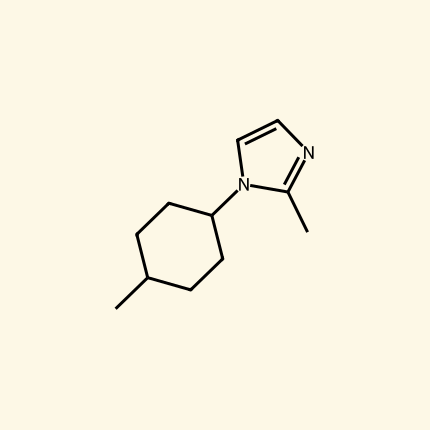 Cc1nccn1C1CCC(C)CC1